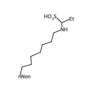 CCCCCCCCCCCCCCCCNC(CC)S(=O)(=O)O